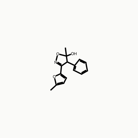 Cc1ccc(C2=NOC(C)(O)C2c2ccccc2)o1